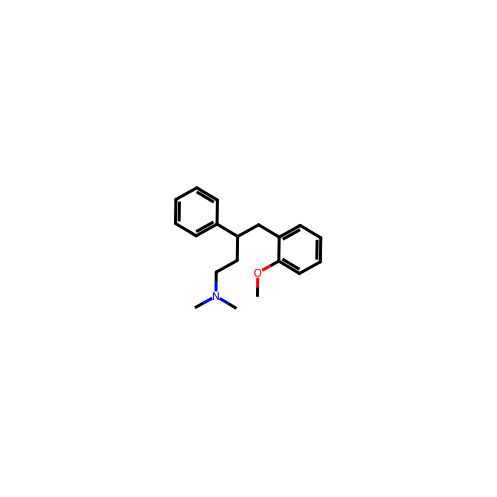 COc1ccccc1CC(CCN(C)C)c1ccccc1